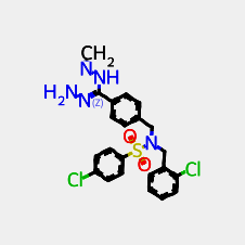 C=NN/C(=N\N)c1ccc(CN(Cc2ccccc2Cl)S(=O)(=O)c2ccc(Cl)cc2)cc1